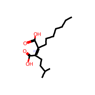 CCCCCCC/C(C(=O)O)=C(\CCC(C)C)C(=O)O